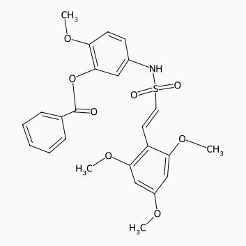 COc1cc(OC)c(/C=C/S(=O)(=O)Nc2ccc(OC)c(OC(=O)c3ccccc3)c2)c(OC)c1